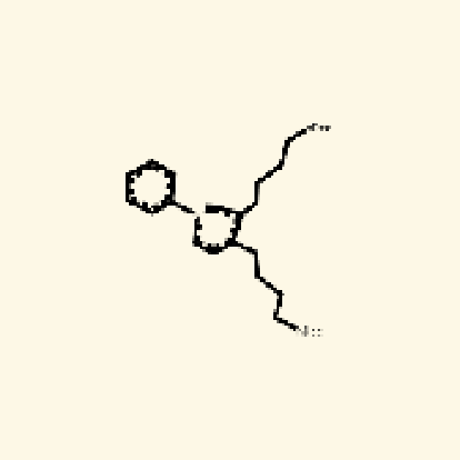 CCCCCCCCCCCCCCc1cc[n+](-c2ccccc2)cc1CCCCCCCCCCCCCC